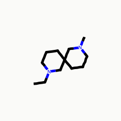 CCN1CCCC2(CCCN(C)C2)C1